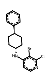 Clc1nccc(N[C@H]2CC[C@H](c3ccccc3)CC2)c1Br